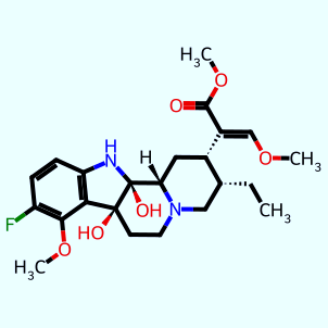 CC[C@@H]1CN2CC[C@]3(O)c4c(ccc(F)c4OC)N[C@]3(O)[C@@H]2C[C@@H]1/C(=C\OC)C(=O)OC